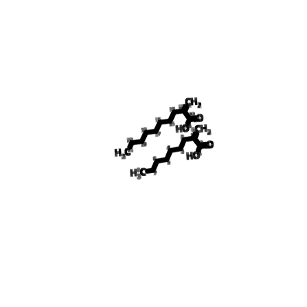 C=C(CCCCCCC)C(=O)O.C=C(CCCCCCCC)C(=O)O